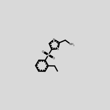 CCc1ccccc1S(=O)(=O)c1cnc(CN)s1